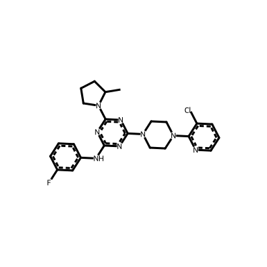 CC1CCCN1c1nc(Nc2cccc(F)c2)nc(N2CCN(c3ncccc3Cl)CC2)n1